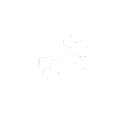 O=Cc1c(O)cccc1OCC1C2COCC[C@@H]2C1c1ccnn1C1CCC1